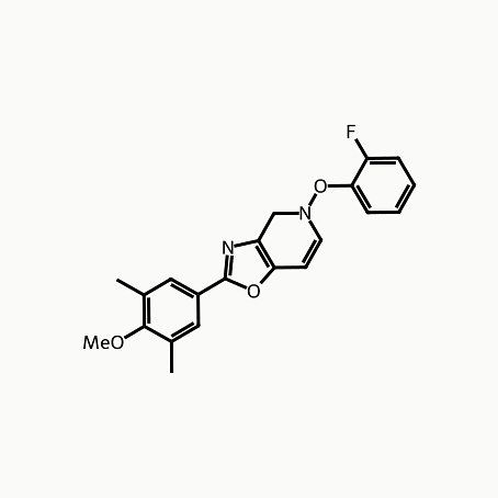 COc1c(C)cc(-c2nc3c(o2)C=CN(Oc2ccccc2F)C3)cc1C